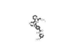 C=CC(=O)N1CCCCC1C1=C2C=NC=C[N+]2(N)C(c2ccc(C(=O)Nc3cc(CCC)ccn3)cc2)=N1